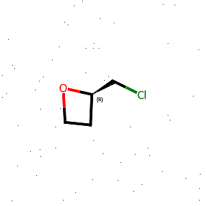 ClC[C@H]1CCO1